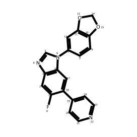 Fc1cc2ncn(-c3ccc4c(c3)OCO4)c2cc1-c1ccncc1